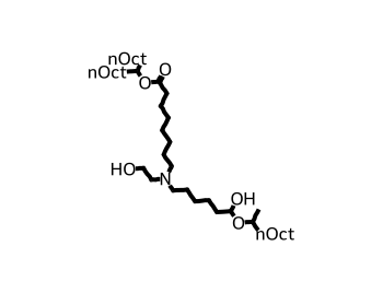 CCCCCCCCC(C)OC(O)CCCCCN(CCO)CCCCCCCC(=O)OC(CCCCCCCC)CCCCCCCC